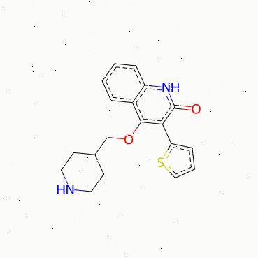 O=c1[nH]c2ccccc2c(OCC2CCNCC2)c1-c1cccs1